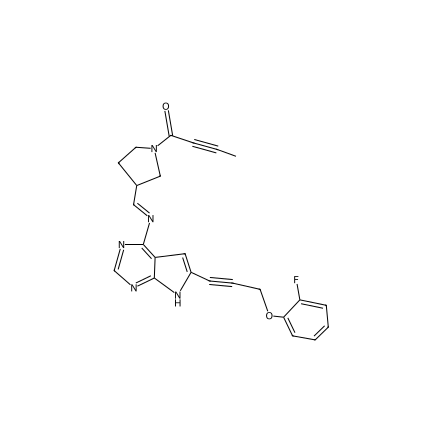 CC#CC(=O)N1CCC(/C=N/c2ncnc3[nH]c(C#CCOc4ccccc4F)cc23)C1